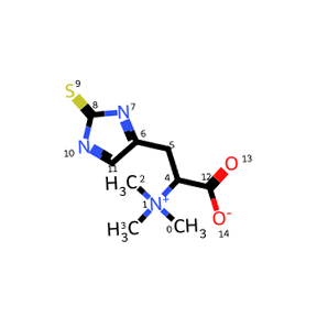 C[N+](C)(C)C(CC1=NC(=S)N=C1)C(=O)[O-]